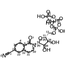 N#Cc1ccc2c(=O)n([C@@H]3O[C@H](COP(=O)(O)OP(=O)(O)OP(=O)(O)O)[C@@H](O)[C@H]3O)ccc2c1